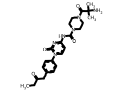 CCC(=O)Cc1ccc(-n2ccc(NC(=O)N3CCN(C(=O)C(C)(C)N)CC3)nc2=O)cc1